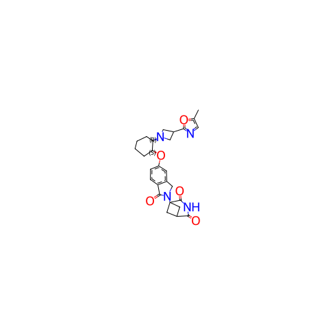 Cc1cnc(C2CN([C@@H]3CCCC[C@@H]3Oc3ccc4c(c3)CN(C35CC(C3)C(=O)NC5=O)C4=O)C2)o1